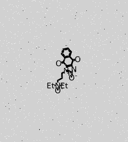 CC[N+]([O-])(CC)CCCn1c2c(n[n+]1[O-])C(=O)c1ccccc1C2=O